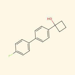 OC1(c2ccc(-c3ccc(F)cc3)cc2)CCC1